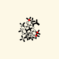 C=C(C)C(=O)OC(C(C)[Si](O[Si](C)(C)C)(O[Si](C)(C)C)O[Si](C)(C)C)([Si](O[Si](C)(C)C)(O[Si](C)(C)C)O[Si](C)(C)C)[Si](O[Si](C)(C)C)(O[Si](C)(C)C)O[Si](C)(C)C